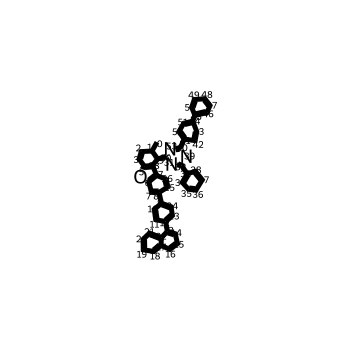 CC1C=Cc2oc3cc(-c4ccc(-c5cccc6ccccc56)cc4)ccc3c2C1c1nc(-c2ccccc2)nc(-c2ccc(-c3ccccc3)cc2)n1